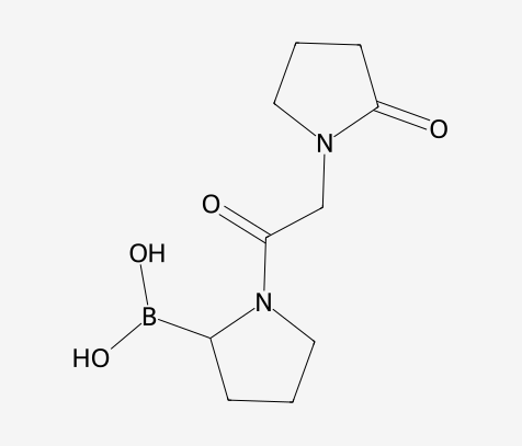 O=C1CCCN1CC(=O)N1CCCC1B(O)O